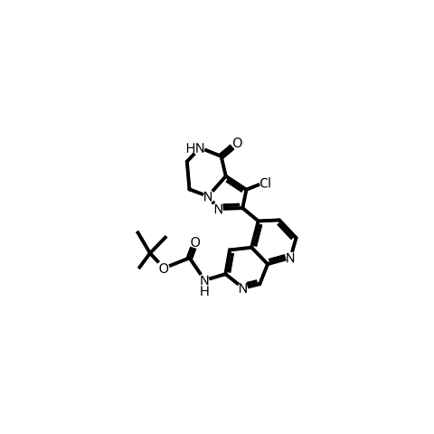 CC(C)(C)OC(=O)Nc1cc2c(-c3nn4c(c3Cl)C(=O)NCC4)ccnc2cn1